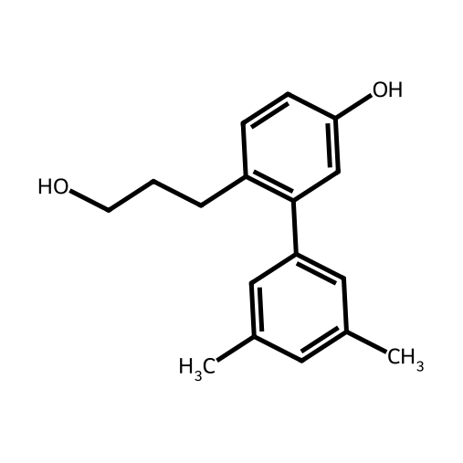 Cc1cc(C)cc(-c2cc(O)ccc2CCCO)c1